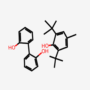 Cc1cc(C(C)(C)C)c(O)c(C(C)(C)C)c1.Oc1ccccc1-c1ccccc1O